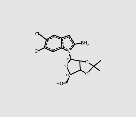 Bc1cc2cc(Cl)c(Cl)cc2n1[C@@H]1O[C@H](CO)C2OC(C)(C)OC21